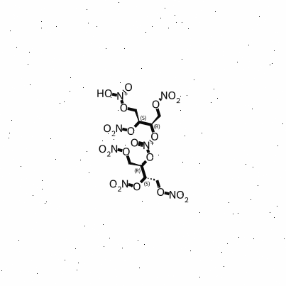 O=[N+]([O-])OC[C@H](O[N+](=O)[O-])[C@@H](CO[N+](=O)[O-])O[N+](=O)O[C@H](CO[N+](=O)[O-])[C@H](CO[N+](=O)O)O[N+](=O)[O-]